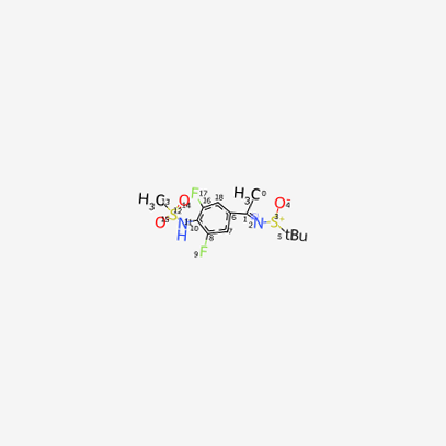 C/C(=N\[S+]([O-])C(C)(C)C)c1cc(F)c(NS(C)(=O)=O)c(F)c1